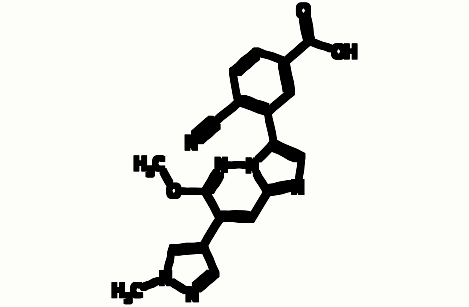 COc1nn2c(-c3cc(C(=O)O)ccc3C#N)cnc2cc1-c1cnn(C)c1